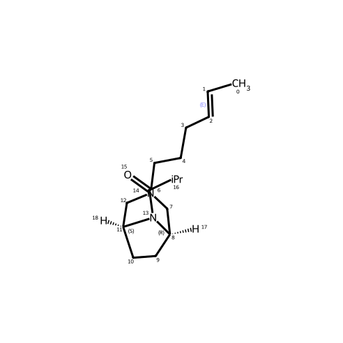 C/C=C/CCCN1C[C@H]2CC[C@@H](C1)N2C(=O)C(C)C